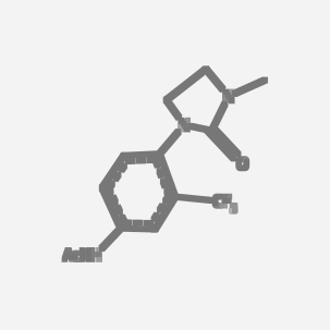 CC(=O)Nc1ccc(N2CCN(C)C2=O)c(C(F)(F)F)c1